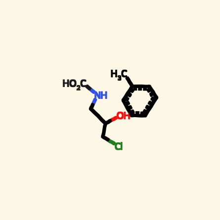 Cc1ccccc1.O=C(O)NCC(O)CCl